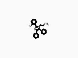 CCCn1c(-c2ccccc2Br)nc(-c2ccccc2)c1-c1ccccc1